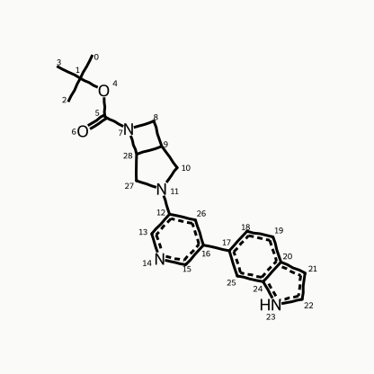 CC(C)(C)OC(=O)N1CC2CN(c3cncc(-c4ccc5cc[nH]c5c4)c3)CC21